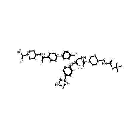 CC(C)(C)OC(=O)NC[C@H]1CC[C@H](C(=O)N[C@@H](Cc2ccc(-c3ccc(C(=O)NC4CCN(C(=O)O)CC4)cc3)cc2)C(=O)Nc2ccc(-c3nn[nH]n3)cc2)CC1